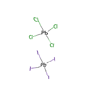 [Cl][Pb]([Cl])([Cl])[Cl].[I][Pb]([I])([I])[I]